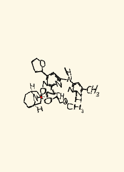 COCCOC(=O)N1[C@@H]2CCC[C@H]1C[C@H](N(C)c1nc(Nc3cc(C)[nH]n3)cc(C3CCCO3)n1)C2